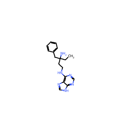 CCC(N)(CCNc1ncnc2[nH]cnc12)Cc1ccccc1